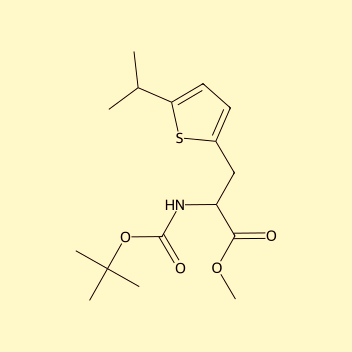 COC(=O)C(Cc1ccc(C(C)C)s1)NC(=O)OC(C)(C)C